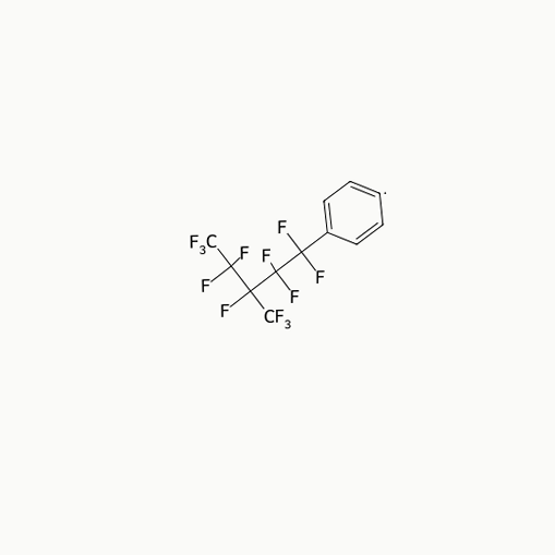 FC(F)(F)C(F)(F)C(F)(C(F)(F)F)C(F)(F)C(F)(F)c1cc[c]cc1